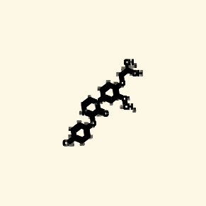 COc1cc(-n2ccnc(Oc3ccc(Cl)cc3)c2=O)ccc1OC[C@@H](C)O